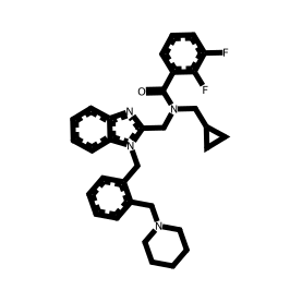 O=C(c1cccc(F)c1F)N(Cc1nc2ccccc2n1Cc1ccccc1CN1CCCCC1)CC1CC1